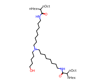 CCCCCCCCC(CCCCCC)C(=O)NCCCCCCCCN(CCCCCO)CCCCCCCCNC(=O)C(CCCCCC)CCCCCCCC